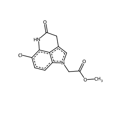 COC(=O)Cn1cc2c3c(c(Cl)ccc31)NC(=O)C2